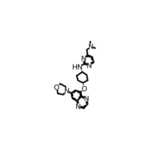 CN(C)Cc1ccnc(N[C@H]2CC[C@@H](Oc3cc(N4CCOCC4)cc4nccnc34)CC2)n1